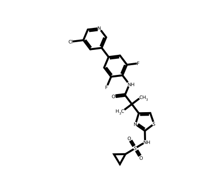 CC(C)(C(=O)Nc1c(F)cc(-c2cncc(Cl)c2)cc1F)c1csc(NS(=O)(=O)C2CC2)n1